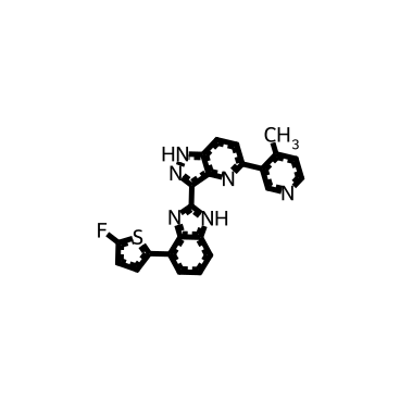 Cc1ccncc1-c1ccc2[nH]nc(-c3nc4c(-c5ccc(F)s5)cccc4[nH]3)c2n1